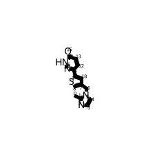 Cc1nccn1Cc1csc(-c2ccc(=O)[nH]n2)c1